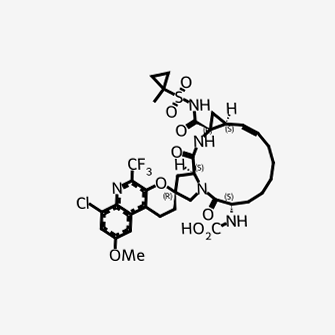 COc1cc(Cl)c2nc(C(F)(F)F)c3c(c2c1)CC[C@]1(C[C@H]2C(=O)N[C@]4(C(=O)NS(=O)(=O)C5(C)CC5)C[C@H]4C=CCCCCC[C@H](NC(=O)O)C(=O)N2C1)O3